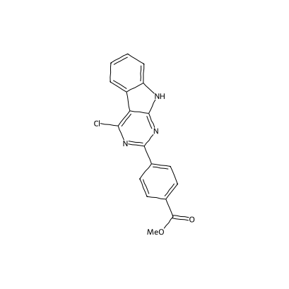 COC(=O)c1ccc(-c2nc(Cl)c3c(n2)[nH]c2ccccc23)cc1